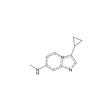 CNc1ccn2c(C3CC3)cnc2c1